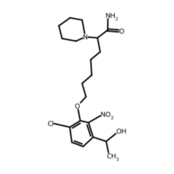 CC(O)c1ccc(Cl)c(OCCCCCC(C(N)=O)N2CCCCC2)c1[N+](=O)[O-]